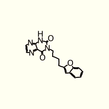 O=c1[nH]c2nccnc2c(=O)n1CCCCc1cc2ccccc2o1